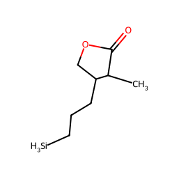 CC1C(=O)OCC1CCC[SiH3]